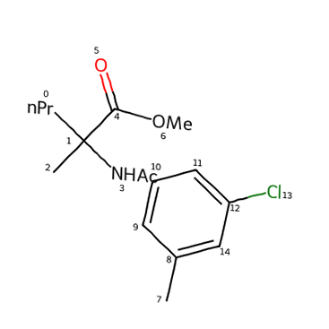 CCCC(C)(NC(C)=O)C(=O)OC.Cc1cccc(Cl)c1